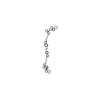 C=C(CC(=O)OC1CCCCC1)C(=O)OCCCCCCOc1ccc(/C=C/c2ccc(OCCCCCCOC(=O)C(=C)CC(=O)OC3CCCCC3)cc2)cc1